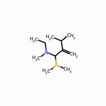 C=C(C(C)C)C(N(C)CC)P(C)C